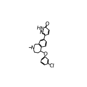 CN1CCC(Oc2cccc(Cl)c2)c2ccc(-c3ccc(=O)[nH]n3)cc2C1